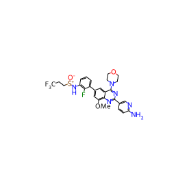 COc1cc(-c2cccc(N[S+]([O-])CCC(F)(F)F)c2F)cc2c(N3CCOCC3)nc(-c3ccc(N)nc3)nc12